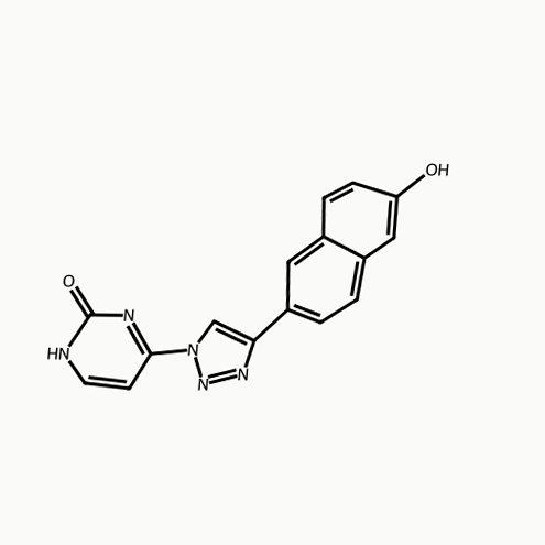 O=c1nc(-n2cc(-c3ccc4cc(O)ccc4c3)nn2)cc[nH]1